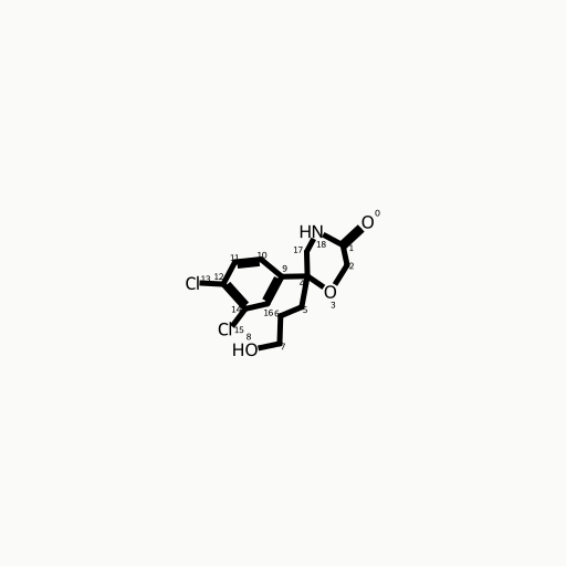 O=C1COC(CCCO)(c2ccc(Cl)c(Cl)c2)CN1